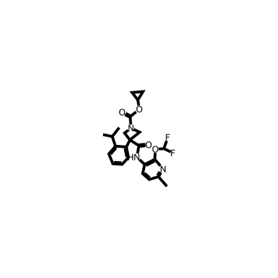 Cc1ccc(NC(=O)C2(c3ccccc3C(C)C)CN(C(=O)OC3CC3)C2)c(OC(F)F)n1